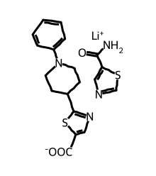 NC(=O)c1cncs1.O=C([O-])c1cnc(C2CCN(c3ccccc3)CC2)s1.[Li+]